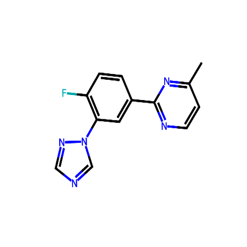 Cc1ccnc(-c2ccc(F)c(-n3cncn3)c2)n1